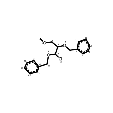 COCC(OCc1ccccc1)C(Cl)OCc1ccccc1